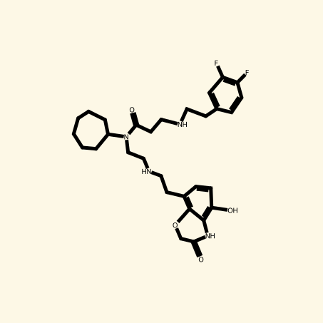 O=C1COc2c(CCNCCN(C(=O)CCNCCc3ccc(F)c(F)c3)C3CCCCCC3)ccc(O)c2N1